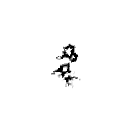 CCC1=C[C@@H](n2ccc3ccnc(Cl)c32)C2OC(C)(C)O[C@@H]12